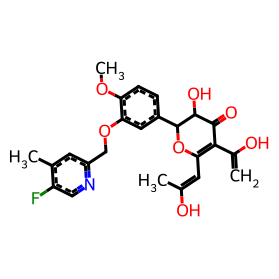 C=C(O)C1=C(/C=C(\C)O)OC(c2ccc(OC)c(OCc3cc(C)c(F)cn3)c2)C(O)C1=O